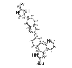 CCC(C)c1nc2c3cccnc3c3cc(-c4cc5ccc(-c6cnc(C(C)C)[nH]6)cc5s4)ccc3c2[nH]1